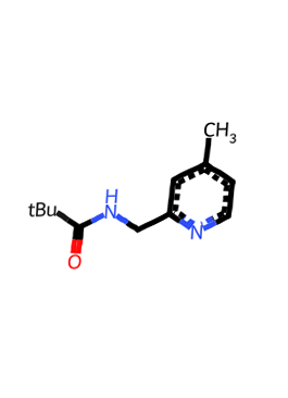 Cc1ccnc(CNC(=O)C(C)(C)C)c1